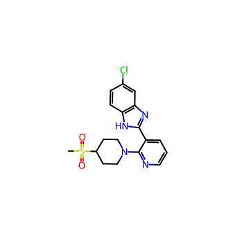 CS(=O)(=O)C1CCN(c2ncccc2-c2nc3cc(Cl)ccc3[nH]2)CC1